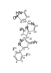 CCCc1cc(-c2c(F)cccc2F)nnc1[C@@](C)(CC(C)C)c1ccnc(-c2cc[nH]c(=O)c2)n1